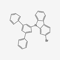 Brc1ccc2c3ccccc3n(-c3cc(-c4ccccc4)cc(-c4ccccc4)c3)c2c1